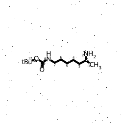 CC(N)CCCCCNC(=O)OC(C)(C)C